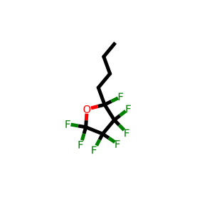 CCCCC1(F)OC(F)(F)C(F)(F)C1(F)F